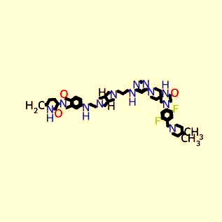 C=C1CCC(N2Cc3cc(NCCN4C[C@H]5CN(CCCNc6cc(N7CCC8(CC7)CN(c7cc(F)c(CN9CCC(C)(C)CC9)cc7F)CC(=O)N8)ncn6)C[C@H]5C4)ccc3C2=O)C(=O)N1